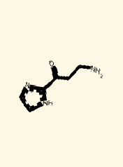 NCCC(=O)c1ncc[nH]1